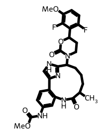 COC(=O)Nc1ccc2c(c1)NC(=O)C(C)CCCC(N1CCC(c3c(F)ccc(OC)c3F)OC1=O)c1nc-2c[nH]1